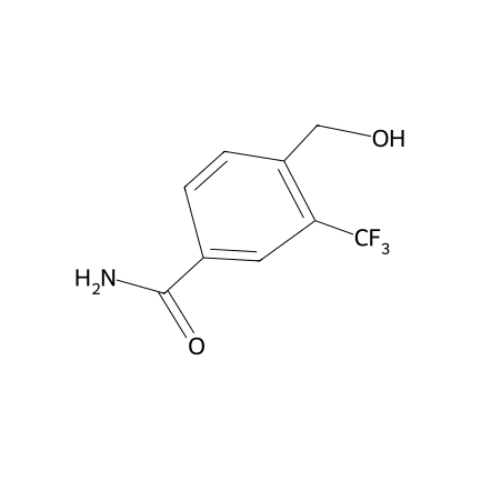 NC(=O)c1ccc(CO)c(C(F)(F)F)c1